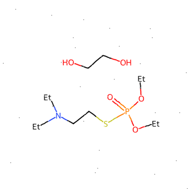 CCOP(=O)(OCC)SCCN(CC)CC.OCCO